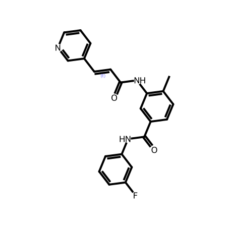 Cc1ccc(C(=O)Nc2cccc(F)c2)cc1NC(=O)/C=C/c1cccnc1